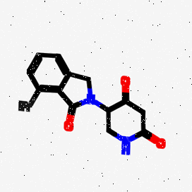 CC(C)c1cccc2c1C(=O)N(C1CNC(=O)CC1=O)C2